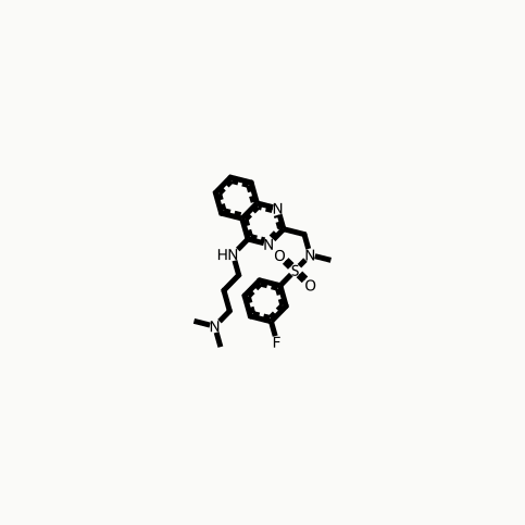 CN(C)CCCNc1nc(CN(C)S(=O)(=O)c2cccc(F)c2)nc2ccccc12